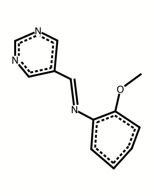 COc1ccccc1/N=C/c1cncnc1